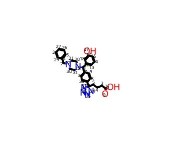 O=C(O)CCCC1(c2ccc([C@H](c3cccc(O)c3)N3CCN(Cc4ccccc4)CC3)cc2)N=NN=N1